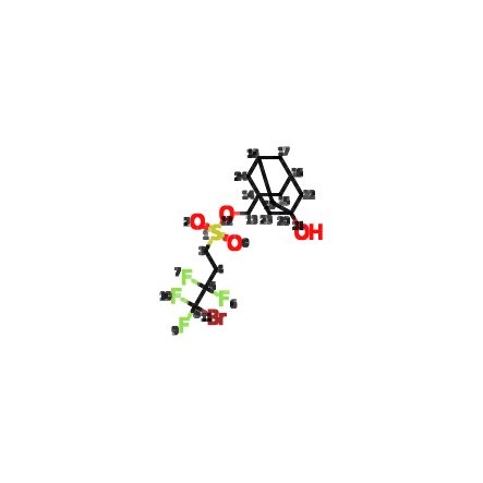 O=S(=O)(CCC(F)(F)C(F)(F)Br)OCC12CC3CC(CC(O)(C3)C1)C2